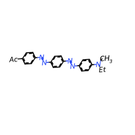 CCN(C)c1ccc(N=Nc2ccc(N=Nc3ccc(C(C)=O)cc3)cc2)cc1